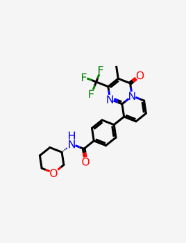 Cc1c(C(F)(F)F)nc2c(-c3ccc(C(=O)N[C@H]4CCCOC4)cc3)cccn2c1=O